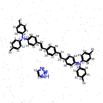 Cc1ccc(N(c2ccc(C)cc2)c2ccc(/C=C/c3ccc(/C=C/c4ccc(N(c5ccc(C)cc5)c5ccc(C)cc5)cc4)cc3)cc2)cc1.c1c[nH]nn1